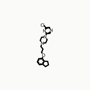 Clc1cncc(N2CCN(CCCOc3cccc4c3CCC4)CC2)n1